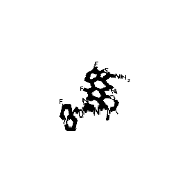 Cc1c(-c2ccc(F)c3sc(N)c(C#N)c23)c(F)c2nc(OC[C@@]34CCCN3C[C@H](F)C4)nc3c2c1OC[C@H](C)N3C